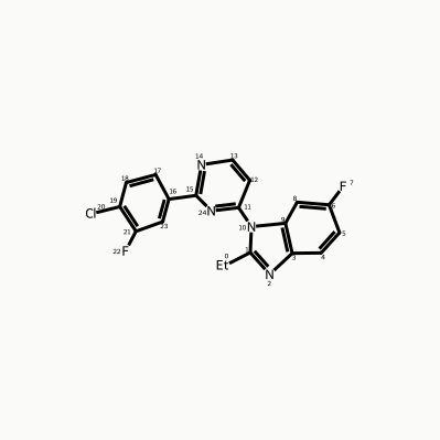 CCc1nc2ccc(F)cc2n1-c1ccnc(-c2ccc(Cl)c(F)c2)n1